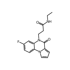 CCNC(=O)CCn1c(=O)c2cccn2c2ccc(F)cc21